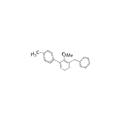 COC1=C(Cc2ccccc2)[CH]CC=C1c1ccc(C)cc1